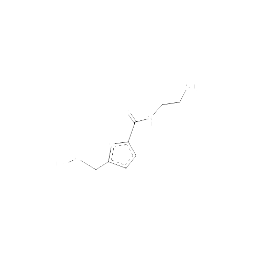 COCc1ccc(C(=O)NCCN)o1